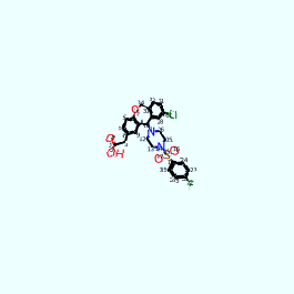 O=C(O)Cc1ccc2c(c1)C(N1CCN(S(=O)(=O)c3ccc(F)cc3)CC1)c1cc(Cl)ccc1CO2